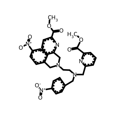 COC(=O)c1cccc(CN(CCN(Cc2ccc([N+](=O)[O-])cc2)Cc2cccc(C(=O)OC)n2)Cc2ccc([N+](=O)[O-])cc2)n1